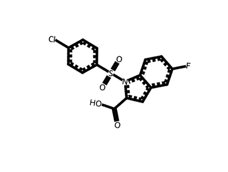 O=C(O)c1cc2cc(F)ccc2n1S(=O)(=O)c1ccc(Cl)cc1